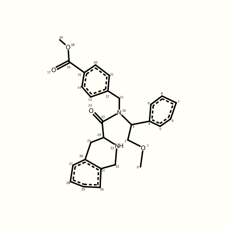 COCC(c1ccccc1)N(Cc1ccc(C(=O)OC)cc1)C(=O)C1Cc2ccccc2CN1